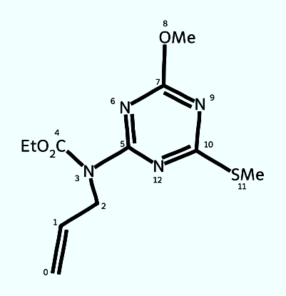 C=CCN(C(=O)OCC)c1nc(OC)nc(SC)n1